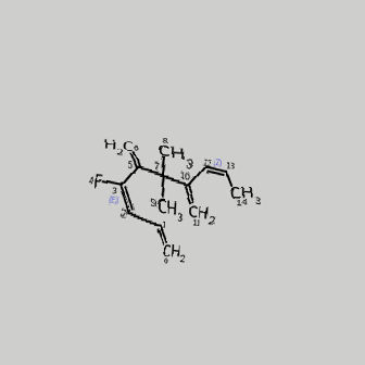 C=C/C=C(/F)C(=C)C(C)(C)C(=C)/C=C\C